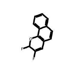 FC1=Cc2ccc3ccccc3c2OC1F